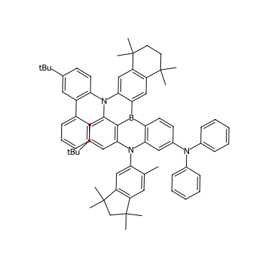 Cc1cc2c(cc1N1c3cc(N(c4ccccc4)c4ccccc4)ccc3B3c4cc5c(cc4N(c4ccc(C(C)(C)C)cc4-c4ccccc4)c4cc(C(C)(C)C)cc1c43)C(C)(C)CCC5(C)C)C(C)(C)CC2(C)C